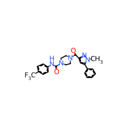 Cn1nc(C(=O)N2CCN(C(=O)Nc3ccc(C(F)(F)F)cc3)CC2)cc1-c1ccccc1